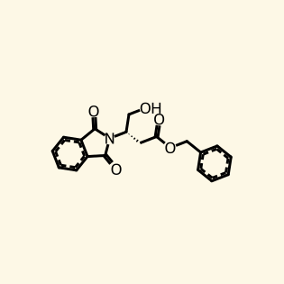 O=C(C[C@@H](CO)N1C(=O)c2ccccc2C1=O)OCc1ccccc1